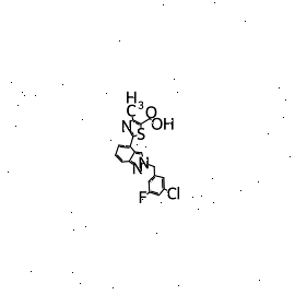 Cc1nc(-c2cccc3nn(Cc4cc(F)cc(Cl)c4)cc23)sc1C(=O)O